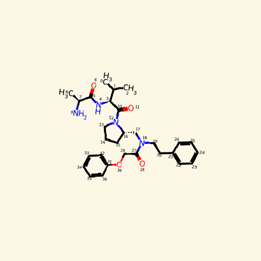 CC(C)[C@H](NC(=O)[C@H](C)N)C(=O)N1CCC[C@H]1CN(CCc1ccccc1)C(=O)COc1ccccc1